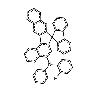 Fc1ccccc1N(c1ccccc1)c1cc2c(c3ccccc13)-c1cc3ccccc3cc1C21c2ccccc2-c2ccccc21